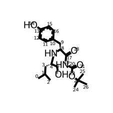 CC(C)C[C@@H](CO)N[C@@H](Cc1ccc(O)cc1)C(=O)NC(=O)OC(C)(C)C